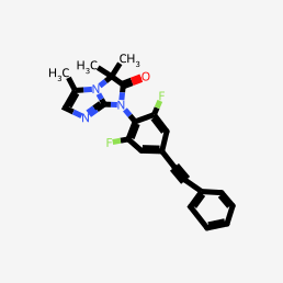 Cc1cnc2n1C(C)(C)C(=O)N2c1c(F)cc(C#Cc2ccccc2)cc1F